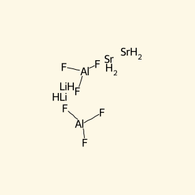 [F][Al]([F])[F].[F][Al]([F])[F].[LiH].[LiH].[SrH2].[SrH2]